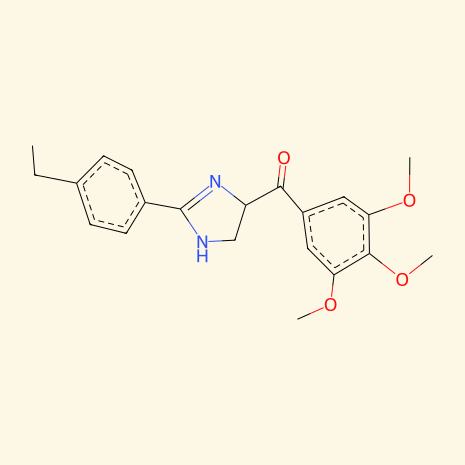 CCc1ccc(C2=NC(C(=O)c3cc(OC)c(OC)c(OC)c3)CN2)cc1